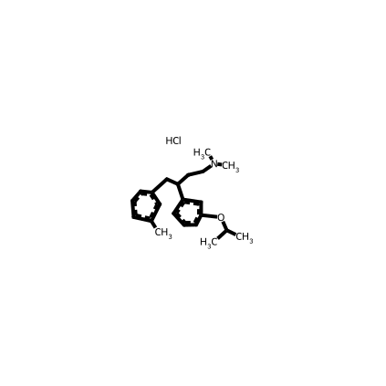 Cc1cccc(CC(CCN(C)C)c2cccc(OC(C)C)c2)c1.Cl